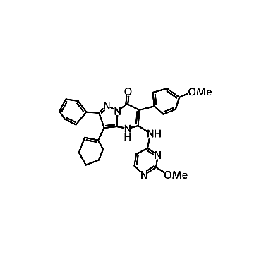 COc1ccc(-c2c(Nc3ccnc(OC)n3)[nH]c3c(C4=CCCCC4)c(-c4ccccc4)nn3c2=O)cc1